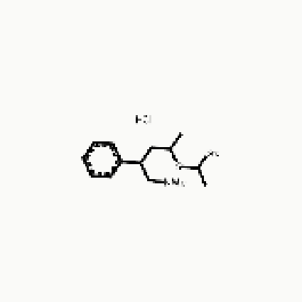 CNCC(CC(C)S[CH](C)[Sn])c1ccccc1.Cl